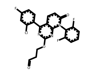 O=CCCOc1nc(-c2ccc(F)cc2Cl)c2ccc(=O)n(-c3c(F)cccc3F)c2n1